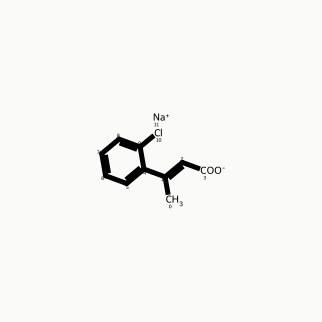 CC(=CC(=O)[O-])c1ccccc1Cl.[Na+]